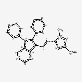 COc1c[n+](C)c(/N=N/c2c(-c3ccccc3)n(-c3ccccc3)c3ccccc23)s1